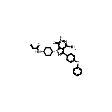 C=CC(=O)N[C@H]1CC[C@H](n2nc(-c3ccc(Oc4ccccc4)cc3)c3c(N)n[nH]c(=O)c32)CC1